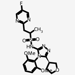 COc1cccc(OC)c1-n1c(NS(=O)(=O)C(C)Cc2ncc(F)cn2)nnc1[C@@H]1CCOC1